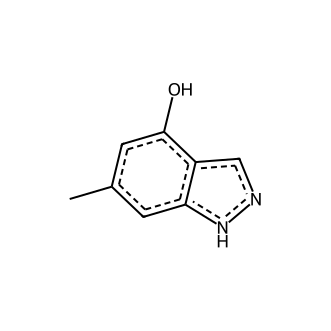 Cc1cc(O)c2cn[nH]c2c1